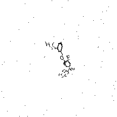 C=CC(=O)Nc1ccc(OCc2cccc(CC)c2)c(F)c1